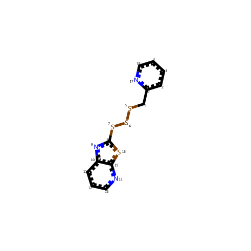 c1ccc(CSSSc2nc3cccnc3s2)nc1